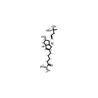 CCCC[C@](C)(O)C/C=C/[C@@H]1[C@H]2CC(CCCCC(=O)N(C(C)C)C(C)C)=C[C@H]2C[C@H]1O